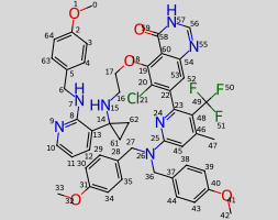 COc1ccc(CNc2ncccc2C2(NCCOc3c(Cl)c(-c4nc(N(Cc5ccc(OC)cc5)Cc5ccc(OC)cc5)cc(C)c4C(F)(F)F)cc4nc[nH]c(=O)c34)CC2)cc1